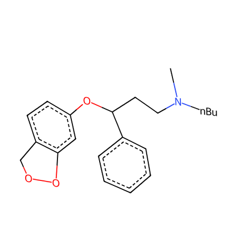 CCCCN(C)CCC(Oc1ccc2c(c1)OOC2)c1ccccc1